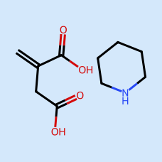 C1CCNCC1.C=C(CC(=O)O)C(=O)O